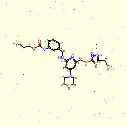 CCCOC(=O)Nc1cccc(CNc2cc(N3CCOCC3)cc(CSc3nnc(CC)s3)n2)c1